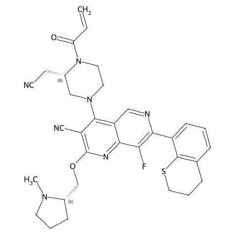 C=CC(=O)N1CCN(c2c(C#N)c(OC[C@@H]3CCCN3C)nc3c(F)c(-c4cccc5c4SCCC5)ncc23)C[C@@H]1CC#N